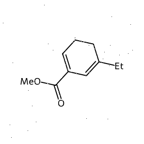 CCC1=CC(C(=O)OC)=C[CH]C1